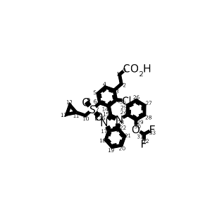 O=C(O)CCc1ccc(S(=O)(=O)CC2CC2)c(-c2nc3ccccc3n2-c2ccccc2OC(F)F)c1Cl